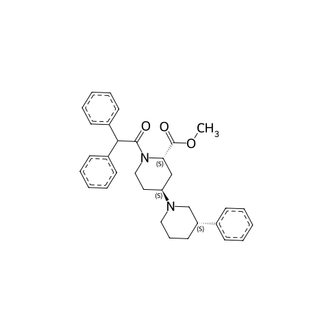 COC(=O)[C@@H]1C[C@@H](N2CCC[C@@H](c3ccccc3)C2)CCN1C(=O)C(c1ccccc1)c1ccccc1